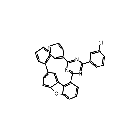 Clc1cccc(-c2nc(-c3ccccc3)nc(-c3cccc4oc5ccc(-c6ccccc6)cc5c34)n2)c1